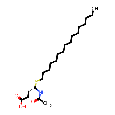 CCCCCCCCCCCCCCCCS[C@@H](CCC(=O)O)NC(C)=O